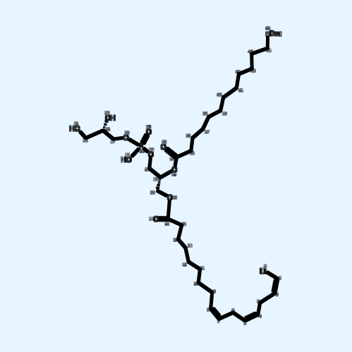 CC/C=C\C/C=C\C/C=C\CCCCCCCC(=O)OC[C@H](COP(=O)(O)OC[C@@H](O)CO)OC(=O)CCCCCCCCCCCCCCCCCCCCC